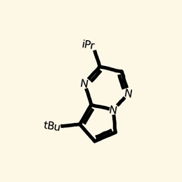 CC(C)c1cnn2ccc(C(C)(C)C)c2n1